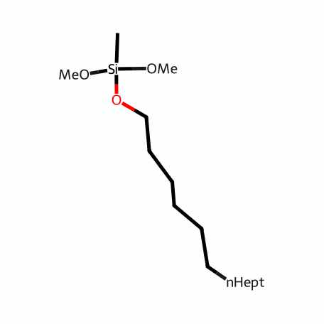 CCCCCCCCCCCCCO[Si](C)(OC)OC